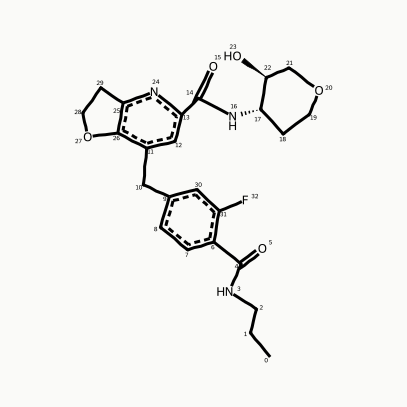 CCCNC(=O)c1ccc(Cc2cc(C(=O)N[C@H]3CCOC[C@@H]3O)nc3c2OCC3)cc1F